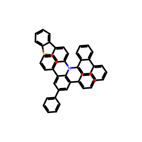 c1ccc(-c2cc(-c3ccccc3)c(N(c3ccc4c(c3)sc3ccccc34)c3cc4ccccc4c4ccccc34)c(-c3ccccc3)c2)cc1